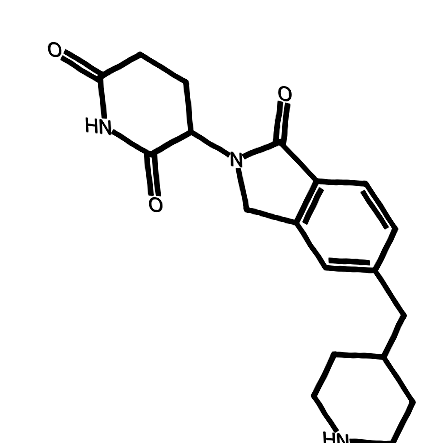 O=C1CCC(N2Cc3cc(CC4CCNCC4)ccc3C2=O)C(=O)N1